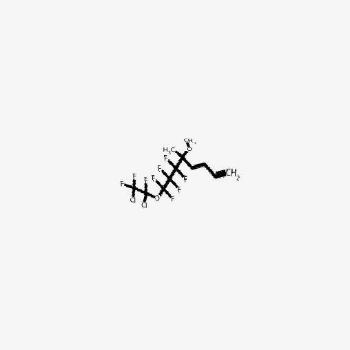 C=CCCC(C)(OC)C(F)(F)C(F)(F)C(F)(F)OC(F)(Cl)C(F)(F)Cl